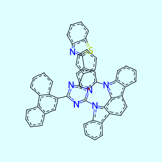 c1ccc(-c2nc(-c3cc4ccccc4c4ccccc34)nc(-n3c4ccccc4c4ccc5c6ccccc6n(-c6cccc(-c7nc8ccccc8s7)c6)c5c43)n2)cc1